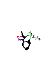 CCOC(C)=O.Cc1onc(-c2ccccc2Cl)c1Cl